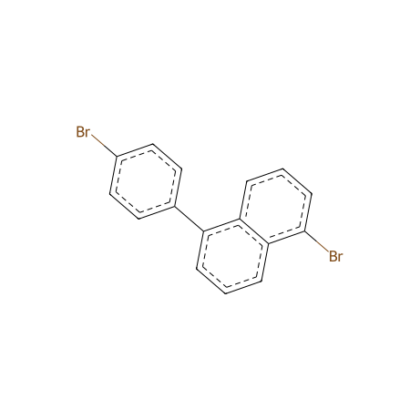 Brc1ccc(-c2cccc3c(Br)cccc23)cc1